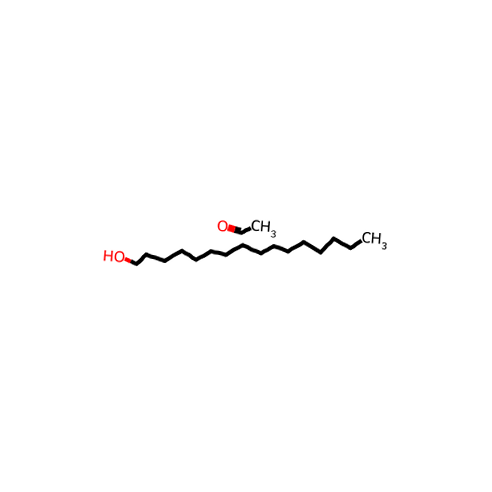 CC=O.CCCCCCCCCCCCCCCCO